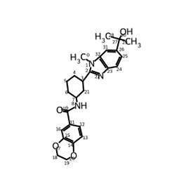 Cn1c(C2CCCC(NC(=O)c3ccc4c(c3)OCCO4)C2)nc2ccc(C(C)(C)O)cc21